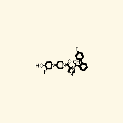 C[C@@H](c1ccccc1-c1ccc(F)cc1)n1cncc1C(=O)N1CCC(N2CC[C@@H](O)[C@H](F)C2)CC1